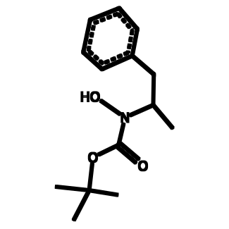 CC(Cc1ccccc1)N(O)C(=O)OC(C)(C)C